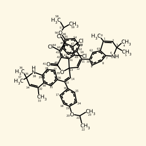 CC1=CC(C)(C)Nc2ccc(C(=CC3(C=C(c4ccc(OC(C)C)cc4)c4ccc5c(c4)C(C)=CC(C)(C)N5)OC(=O)c4c(Cl)c(Cl)c(Cl)c(Cl)c43)c3ccc(OC(C)C)cc3)cc21